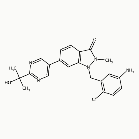 Cn1c(=O)c2ccc(-c3cnc(C(C)(C)O)nc3)cc2n1Cc1cc(N)ccc1Cl